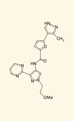 COCCn1cc(NC(=O)c2ccc(-c3c[nH]nc3C)o2)c(-c2ncccn2)n1